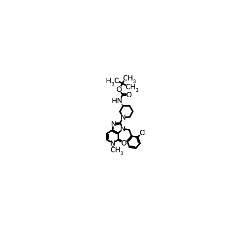 Cn1ccc2nc(N3CCC[C@@H](NC(=O)OC(C)(C)C)C3)n(Cc3ccccc3Cl)c2c1=O